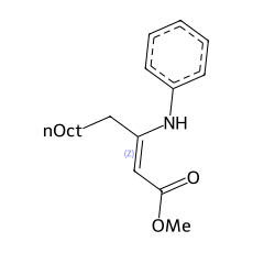 CCCCCCCCC/C(=C/C(=O)OC)Nc1ccccc1